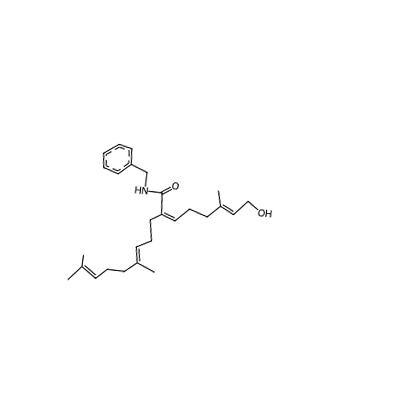 CC(C)=CCC/C(C)=C/CC/C(=C/CC/C(C)=C/CO)C(=O)NCc1ccccc1